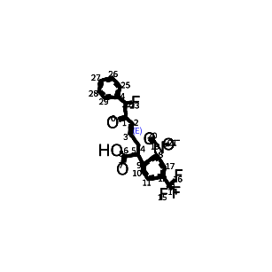 O=C(/C=C/CC(C(=O)O)c1ccc(C(F)(F)F)cc1[N+](=O)[O-])C(F)c1ccccc1